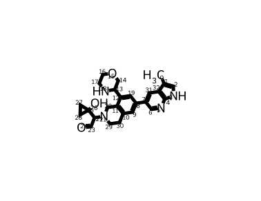 Cc1c[nH]c2ncc(-c3cc4c(c(C5COCCN5)c3)CN(C(C=O)C3(O)CC3)CC4)cc12